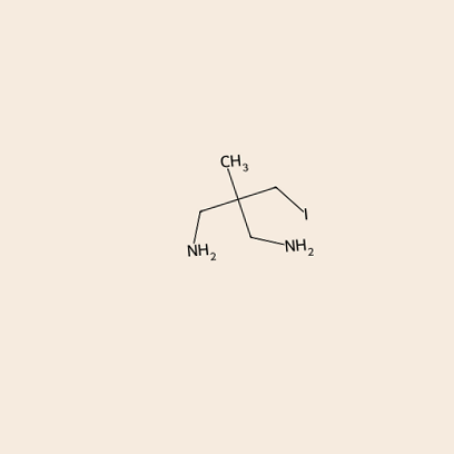 CC(CN)(CN)CI